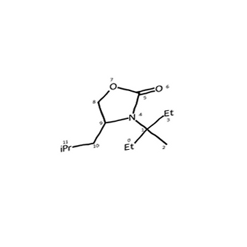 CCC(C)(CC)N1C(=O)OCC1CC(C)C